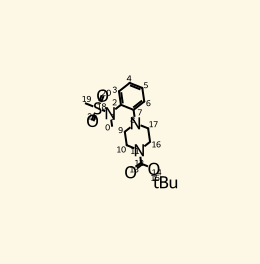 CN(c1ccccc1N1CCN(C(=O)OC(C)(C)C)CC1)S(C)(=O)=O